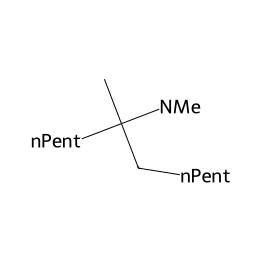 CCCCCCC(C)(CCCCC)NC